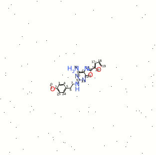 COc1ccc(CCNc2nc(N)c3nc(-c4ccco4)oc3n2)cc1